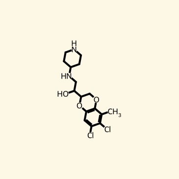 Cc1c(Cl)c(Cl)cc2c1OCC(C(O)CNC1CCNCC1)O2